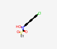 CC[S+]([O-])C(=O)N(O)C#CC#CC#CCl